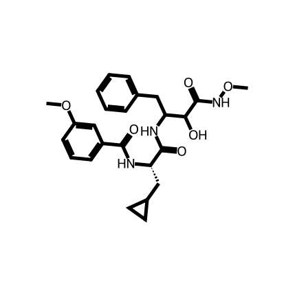 CONC(=O)C(O)C(Cc1ccccc1)NC(=O)[C@H](CC1CC1)NC(=O)c1cccc(OC)c1